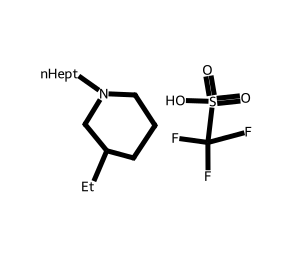 CCCCCCCN1CCCC(CC)C1.O=S(=O)(O)C(F)(F)F